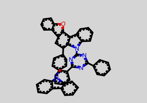 c1ccc(-c2nc(-c3ccccc3)nc(-n3c4ccccc4c4c5oc6ccccc6c5cc(-c5ccc(-n6c7ccccc7c7ccccc76)cc5)c43)n2)cc1